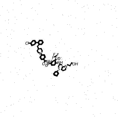 O=C(N[S+]([O-])c1ccc(NC(CSc2ccccc2)C[C@H]2CCCN2CCCO)c([S+]([O-])C(F)(F)F)c1)c1ccc(N2CCC(Cc3ccccc3-c3ccc(Cl)cc3)CC2)cc1